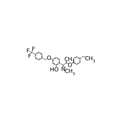 C=C(Oc1ccc(CC)cc1)/C(=N\C)c1ccc(OCc2ccc(C(F)(F)F)cc2)cc1O